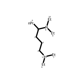 CCCC(CC[CH2][In]([CH2]C)[CH2]C)N(CC)CC